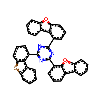 c1ccc2c(c1)oc1c(-c3nc(-c4cccc5oc6ccccc6c45)nc(-c4cccc5sc6ccccc6c45)n3)cccc12